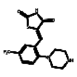 O=C1NC(=O)/C(=C/c2cc(C(F)(F)F)ccc2N2CCNCC2)S1